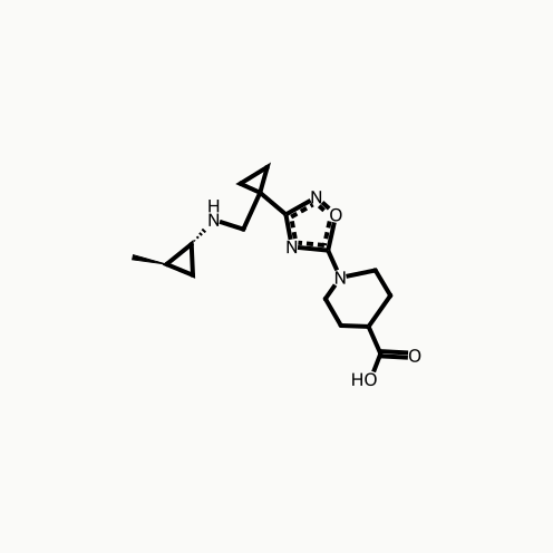 C[C@@H]1C[C@H]1NCC1(c2noc(N3CCC(C(=O)O)CC3)n2)CC1